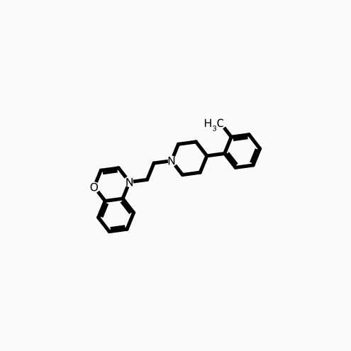 Cc1ccccc1C1CCN(CCN2C=COc3ccccc32)CC1